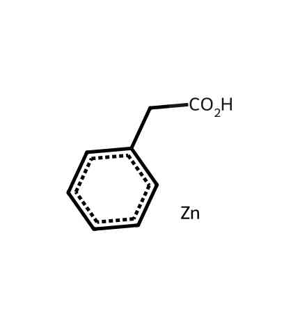 O=C(O)Cc1ccccc1.[Zn]